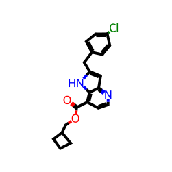 O=C(OCC1CCC1)c1ccnc2cc(Cc3ccc(Cl)cc3)[nH]c12